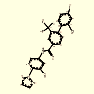 O=C(Nc1cnc(-n2nccn2)c(Cl)c1)c1ccc(-c2ccc(F)cc2Cl)c(C(F)(F)F)c1